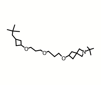 CC(C)(C)CC1CC(OCCCOCCCOC2CC3(C2)CN(C(C)(C)C)C3)C1